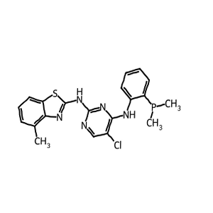 Cc1cccc2sc(Nc3ncc(Cl)c(Nc4ccccc4P(C)C)n3)nc12